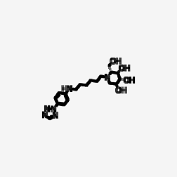 OC[C@@H]1[C@@H](O)[C@H](O)[C@@H](O)CN1CCCCCCNc1ccc(-n2ncnn2)cc1